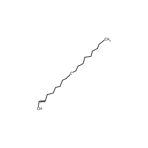 [CH]C=CCCCCCCCCCCCCCCCC